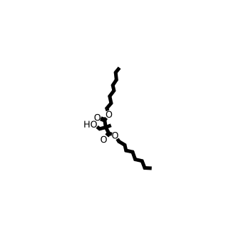 CCCCCCCCOC(=O)C(C)(CO)C(=O)OCCCCCCCC